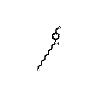 O=CCCCCCCCCNc1ccc(C=O)cc1